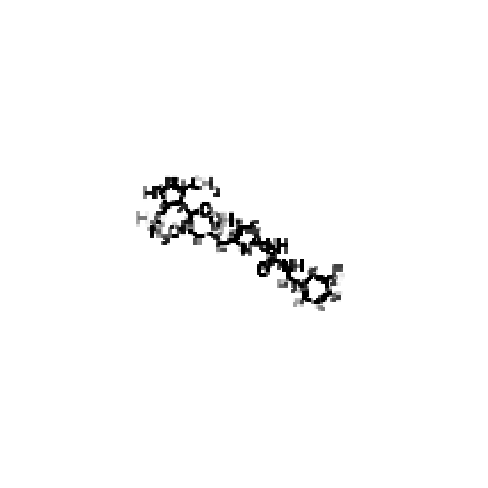 Cc1n[nH]c(C)c1C(=O)N(C)CC(O)Cc1csc(NC(=O)NCc2cccc(F)c2)n1